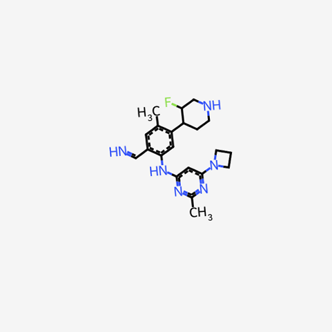 Cc1nc(Nc2cc(C3CCNCC3F)c(C)cc2C=N)cc(N2CCC2)n1